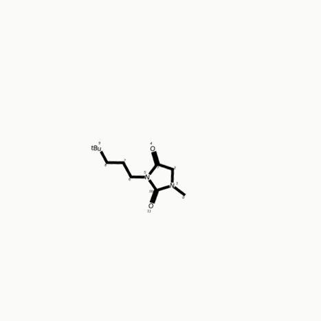 CN1CC(=O)N(CCCC(C)(C)C)C1=O